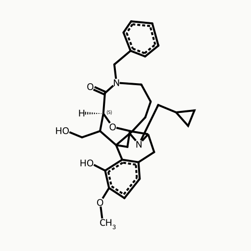 COc1ccc2c(c1O)C13CCN(CC4CC4)C(C2)C12CCCN(Cc1ccccc1)C(=O)[C@@H](O2)C3CO